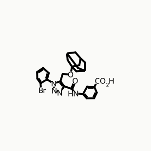 O=C(O)c1cccc(NC(=O)c2nnn(-c3ccccc3Br)c2COC23CC4CC(CC(C4)C2)C3)c1